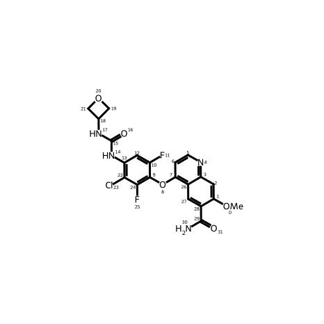 COc1cc2nccc(Oc3c(F)cc(NC(=O)NC4COC4)c(Cl)c3F)c2cc1C(N)=O